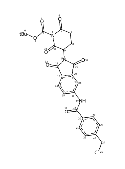 CC(C)(C)OC(=O)N1C(=O)CCC(N2C(=O)c3ccc(NC(=O)c4ccc(CCl)cc4)cc3C2=O)C1=O